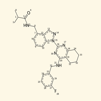 CC(C)C(=O)NCc1cccc2c1cnn2-c1nc2c(c(NCc3cccc(F)c3)n1)CCCC2